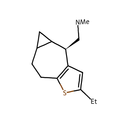 CCc1cc2c(s1)CCC1CC1[C@H]2CNC